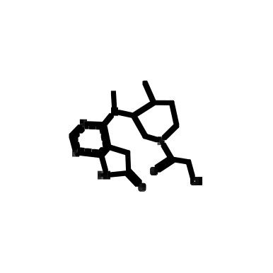 CC1CCN(C(=O)CC#N)CC1N(C)c1ncnc2c1CC(=O)N2